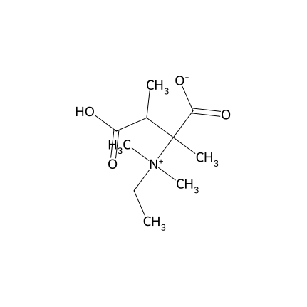 CC[N+](C)(C)C(C)(C(=O)[O-])C(C)C(=O)O